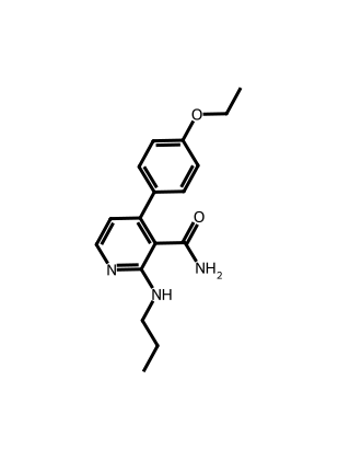 CCCNc1nccc(-c2ccc(OCC)cc2)c1C(N)=O